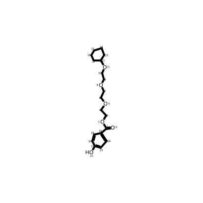 O=C(OCCOCCOCCOC1CCCCC1)c1ccc(O)cc1